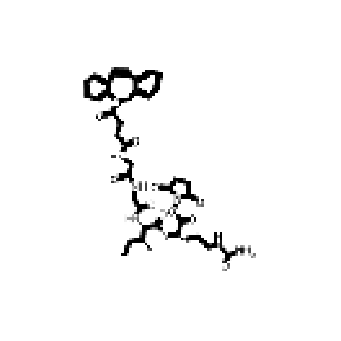 CC[C@H](C)[C@H](NC(=O)CNC(=O)CNC(=O)CCC(=O)N1Cc2ccccc2C#Cc2ccccc21)C(=O)N[C@@H](CCCNC(N)=O)C(=O)ON1C(=O)CCC1=O